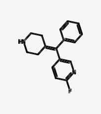 Fc1ccc(C(=C2CCNCC2)c2ccccc2)cn1